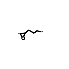 [CH2]CCCC1[CH]O1